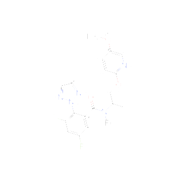 CCN(C(=O)c1cc(F)cc(F)c1-n1nccn1)C(C)COc1ccc(OC(F)(F)F)cn1